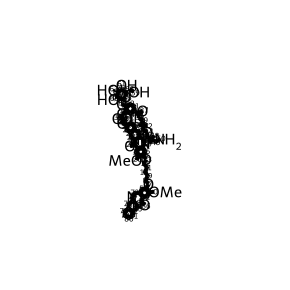 COc1cc2c(cc1OCCCCCOc1cc3c(cc1OC)C(=O)N1Cc4cc(OS(=O)(=O)Oc5cc(C(=O)NCC(C)(C)COCC(C)(C)CN)ccc5O[C@@H]5O[C@H](CO)[C@H](O)[C@H](O)[C@H]5O)ccc4C[C@H]1C=N3)C=NC1Cc3ccccc3CN1C2=O